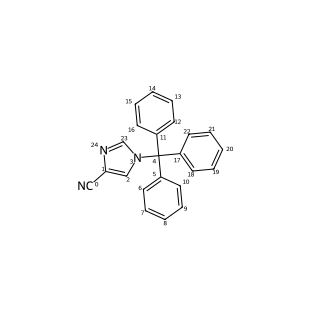 N#Cc1cn(C(c2ccccc2)(c2ccccc2)c2ccccc2)cn1